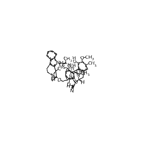 COc1c(C)cc2c(c1O)[C@@H]1[C@@H]3[C@@H]4SC[C@]5(NCCc6c5[nH]c5ccccc65)C(=O)OC[C@@H](c5c6c(c(C)c(OC(C)=O)c54)OCO6)N3[C@@H](C#N)[C@@H](C2)N1C